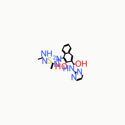 C=C(/N=N/c1c(O)c(C(O)Nc2ncccn2)cc2ccccc12)S/N=C(/C)N